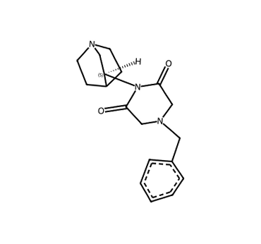 O=C1CN(Cc2ccccc2)CC(=O)N1[C@@H]1CN2CCC1CC2